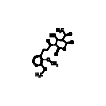 COc1cccc(C=CC(=O)C2C(=O)OC(=O)C(C(C)=O)=C2O)c1OC